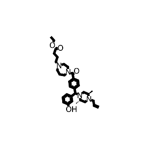 C=CCN1C[C@H](C)N(C(c2ccc(C(=O)N3CCCN(CCCC(=O)OCC)CC3)cc2)c2cccc(O)c2)C[C@H]1C